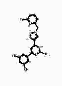 CCc1cccc(Cn2cc(-c3cc(-c4cc(Cl)cc(C#N)c4)nc(N)n3)nn2)n1